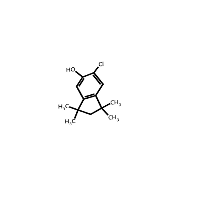 CC1(C)CC(C)(C)c2cc(Cl)c(O)cc21